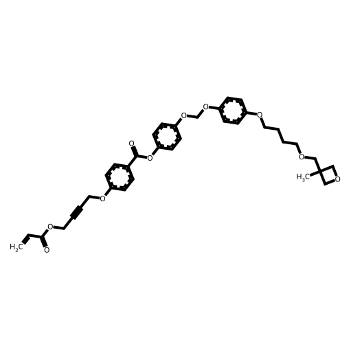 C=CC(=O)OCC#CCOc1ccc(C(=O)Oc2ccc(OCOc3ccc(OCCCCOCC4(C)COC4)cc3)cc2)cc1